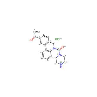 COC(=O)c1ccc(CN(C(=O)N2CCNCC2)c2ccccc2)cc1.Cl